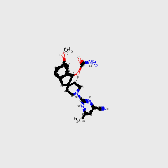 COc1ccc2c(c1)[C@@H](OC(N)=O)C1(CCN(c3nc(C)cc(C#N)n3)CC1)C2